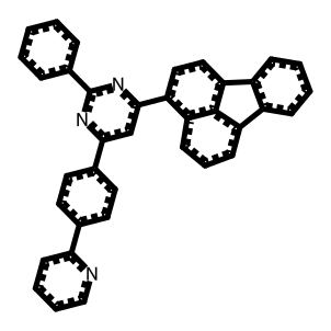 c1ccc(-c2nc(-c3ccc(-c4ccccn4)cc3)cc(-c3ccc4c5c(cccc35)-c3ccccc3-4)n2)cc1